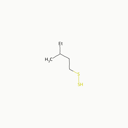 CCC(C)CCSS